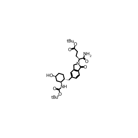 CC(C)(C)OC(=O)CC[C@@H](C(N)=O)N1Cc2cc(C[C@H]3CC[C@H](O)C[C@@H]3NC(=O)OC(C)(C)C)ccc2C1=O